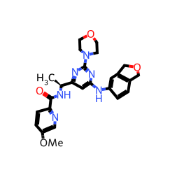 COc1ccc(C(=O)N[C@@H](C)c2cc(Nc3ccc4c(c3)COC4)nc(N3CCOCC3)n2)nc1